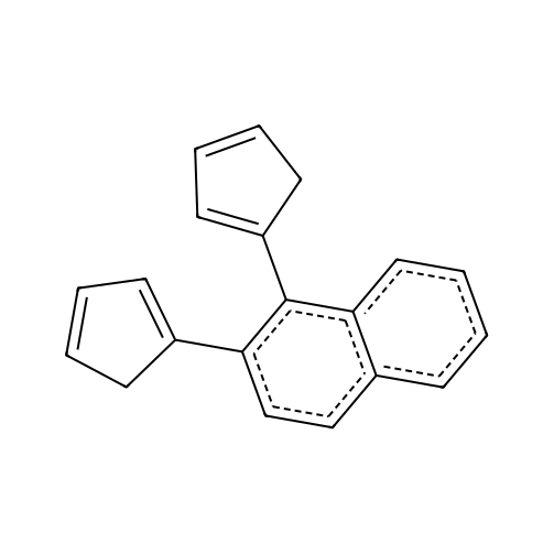 C1=CCC(c2ccc3ccccc3c2C2=CC=CC2)=C1